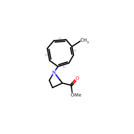 COC(=O)C1CCN1C1=C/C=C(C)\C=C/C=C\1